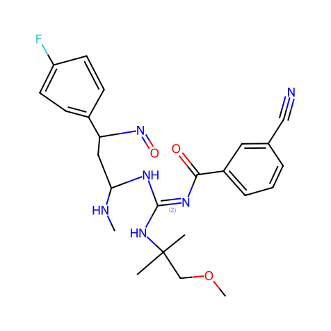 CNC(CC(N=O)c1ccc(F)cc1)N/C(=N\C(=O)c1cccc(C#N)c1)NC(C)(C)COC